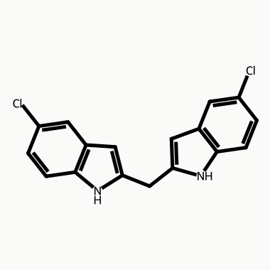 Clc1ccc2[nH]c(Cc3cc4cc(Cl)ccc4[nH]3)cc2c1